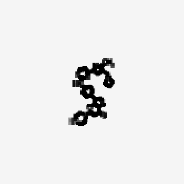 Cc1nn(-c2ccnc(Nc3ccc(-c4csc5c(=O)cc(N6CCNCC6)oc45)cc3)n2)cc1CN1CCC1